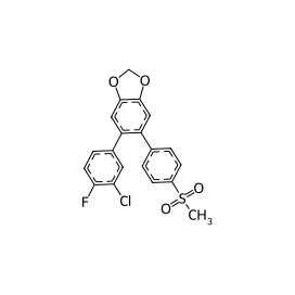 CS(=O)(=O)c1ccc(-c2cc3c(cc2-c2ccc(F)c(Cl)c2)OCO3)cc1